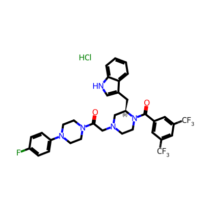 Cl.O=C(CN1CCN(C(=O)c2cc(C(F)(F)F)cc(C(F)(F)F)c2)[C@H](Cc2c[nH]c3ccccc23)C1)N1CCN(c2ccc(F)cc2)CC1